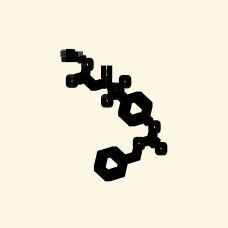 CC(C)(C)OC(=O)CNS(=O)(=O)c1ccc(OC(=O)OCc2ccccc2)cc1